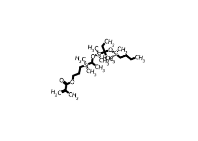 C=C(C)C(=O)OCCC[Si](C)(C)C(C)O[Si](C)(C)C(C)(CC)O[Si](C)(C)CCCC